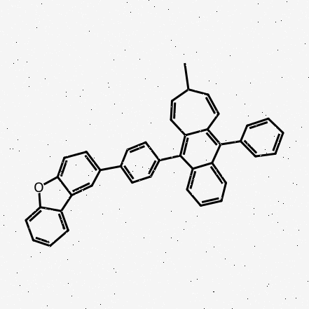 CC1C=Cc2c(c(-c3ccc(-c4ccc5oc6ccccc6c5c4)cc3)c3ccccc3c2-c2ccccc2)C=C1